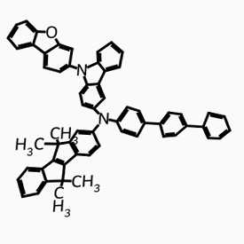 CC1(C)C2=C(c3ccccc31)C(C)(C)c1cc(N(c3ccc(-c4ccc(-c5ccccc5)cc4)cc3)c3ccc4c(c3)c3ccccc3n4-c3ccc4c(c3)oc3ccccc34)ccc12